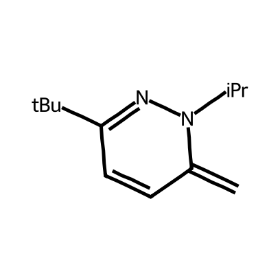 C=C1C=CC(C(C)(C)C)=NN1C(C)C